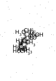 CC1(C)CC[C@]2(C(=O)N3CCC[C@H]3C(=O)O)CC[C@]3(C)C(=C2C1)CC[C@@H]1[C@@]2(C)CC[C@H](O)C(C)(C)[C@@H]2CC[C@]13C